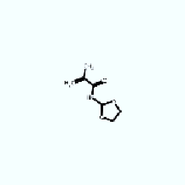 C=C(C)C(=O)NC1OCCO1